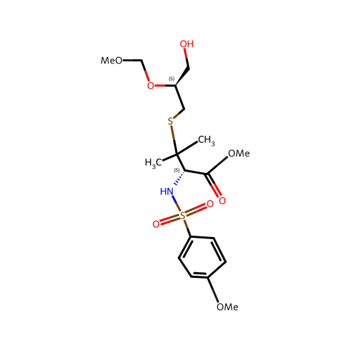 COCO[C@@H](CO)CSC(C)(C)[C@@H](NS(=O)(=O)c1ccc(OC)cc1)C(=O)OC